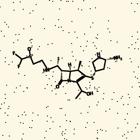 CC(O)C1=C(S[C@@H]2CN[C@H](N)C2)[C@H](C)[C@@H]2[C@@H]([C@@H](C)NCC[S+]([O-])C(F)F)C(=O)N12